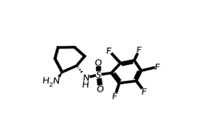 N[C@H]1CCCC[C@@H]1NS(=O)(=O)c1c(F)c(F)c(F)c(F)c1F